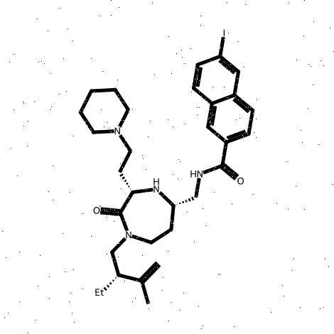 C=C(C)[C@H](CC)CN1CC[C@@H](CNC(=O)c2ccc3cc(I)ccc3c2)N[C@@H](CCN2CCCCC2)C1=O